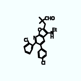 CCNc1c(CC(C)(C)C=O)oc2nc(-c3ccccc3Cl)c(-c3ccc(Cl)cc3)cc12